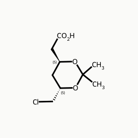 CC1(C)O[C@H](CCl)C[C@@H](CC(=O)O)O1